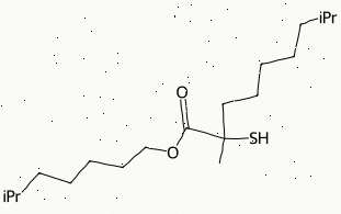 CC(C)CCCCCOC(=O)C(C)(S)CCCCCC(C)C